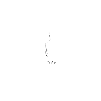 [CH2]OC#CCCF